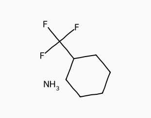 FC(F)(F)C1CCCCC1.N